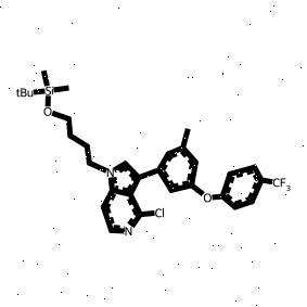 Cc1cc(Oc2ccc(C(F)(F)F)cc2)cc(-c2cn(CCCCO[Si](C)(C)C(C)(C)C)c3ccnc(Cl)c23)c1